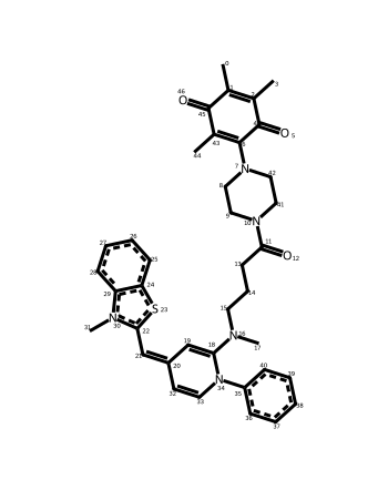 CC1=C(C)C(=O)C(N2CCN(C(=O)CCCN(C)C3=C/C(=C\c4sc5ccccc5[n+]4C)C=CN3c3ccccc3)CC2)=C(C)C1=O